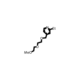 CCc1cc(COCCOCCOC)ccn1